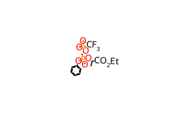 CCOC(=O)C(C)OP(=O)(COS(=O)(=O)C(F)(F)F)Oc1ccccc1